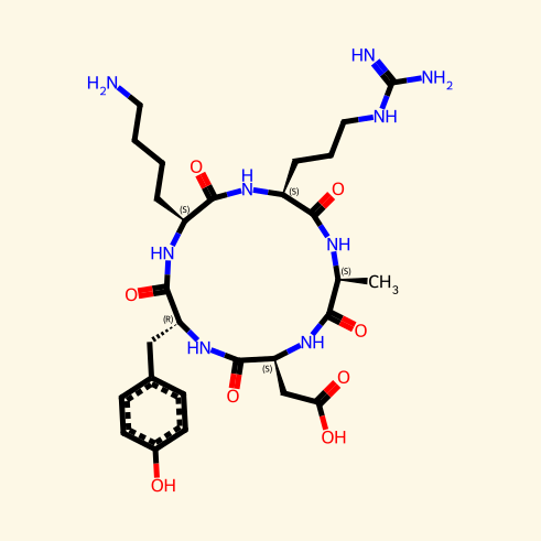 C[C@@H]1NC(=O)[C@H](CCCNC(=N)N)NC(=O)[C@H](CCCCN)NC(=O)[C@@H](Cc2ccc(O)cc2)NC(=O)[C@H](CC(=O)O)NC1=O